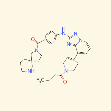 O=C(CCC(F)(F)F)N1CC=C(c2cccn3nc(Nc4ccc(C(=O)N5CCC6(CCCNC6)C5)cc4)nc23)CC1